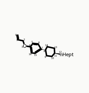 C=CCOc1ccc([C@H]2CC[C@H](CCCCCCC)CC2)cc1